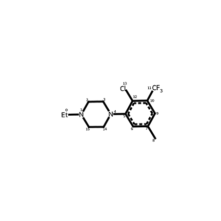 CCN1CCN(c2cc(C)cc(C(F)(F)F)c2Cl)CC1